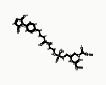 CCCCCCC(=O)OCC(COP(=O)(O)OCCNC(=O)CCCc1ccc(N2C(=O)C=CC2=O)cc1)OC(=O)CCCCCC